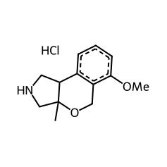 COc1cccc2c1COC1(C)CNCC21.Cl